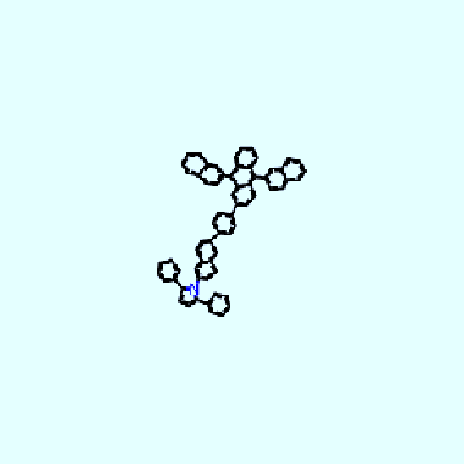 c1ccc(-c2ccc(-c3ccccc3)n2-c2ccc3cc(-c4ccc(-c5ccc6c(-c7ccc8ccccc8c7)c7ccccc7c(-c7ccc8ccccc8c7)c6c5)cc4)ccc3c2)cc1